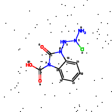 NN(Cl)Nn1c(=O)n(C(=O)O)c2ccccc21